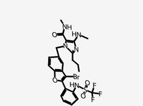 CCCc1nc(NC)c(C(=O)NC)n1Cc1ccc2oc(-c3ccccc3NS(=O)(=O)C(F)(F)F)c(Br)c2c1